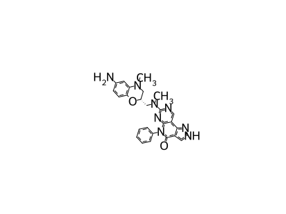 CN(C[C@H]1CN(C)c2cc(N)ccc2O1)c1ncc2c3n[nH]cc3c(=O)n(-c3ccccc3)c2n1